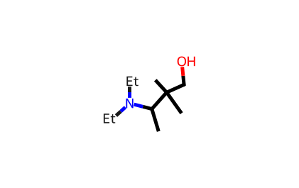 CCN(CC)C(C)C(C)(C)CO